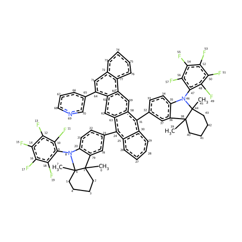 CC12CCCCC1(C)N(c1c(F)c(F)c(F)c(F)c1F)c1ccc(-c3c4ccccc4c(-c4ccc5c(c4)C4(C)CCCCC4(C)N5c4c(F)c(F)c(F)c(F)c4F)c4cc5c(cc34)c(-c3cccnc3)cc3ccccc35)cc12